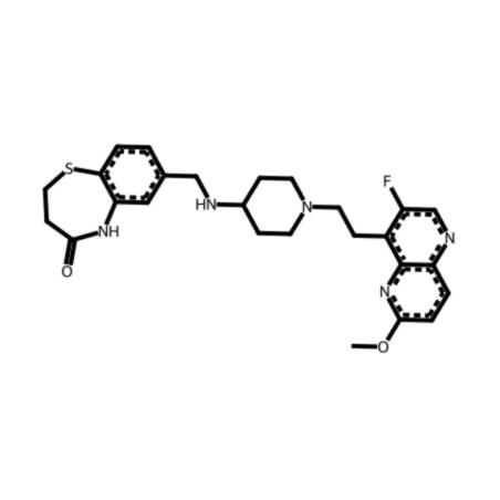 COc1ccc2ncc(F)c(CCN3CCC(NCc4ccc5c(c4)NC(=O)CCS5)CC3)c2n1